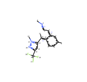 C/N=C/C=c1/cc(C)cc/c1=C(/C)c1cc(C(F)(F)F)nn1C